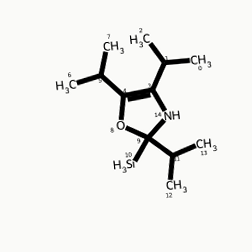 CC(C)C1=C(C(C)C)OC([SiH3])(C(C)C)N1